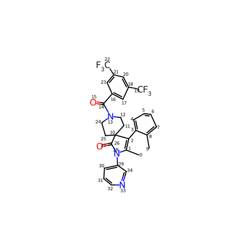 CC1=C(c2ccccc2C)C2(CCN(C(=O)c3cc(C(F)(F)F)cc(C(F)(F)F)c3)CC2)C(=O)N1c1cccnc1